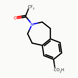 O=C(O)c1ccc2c(c1)CCN(C(=O)C(F)(F)F)CC2